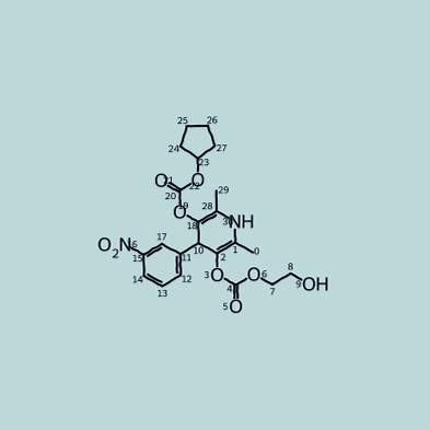 CC1=C(OC(=O)OCCO)C(c2cccc([N+](=O)[O-])c2)C(OC(=O)OC2CCCC2)=C(C)N1